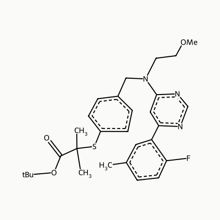 COCCN(Cc1ccc(SC(C)(C)C(=O)OC(C)(C)C)cc1)c1cc(-c2cc(C)ccc2F)ncn1